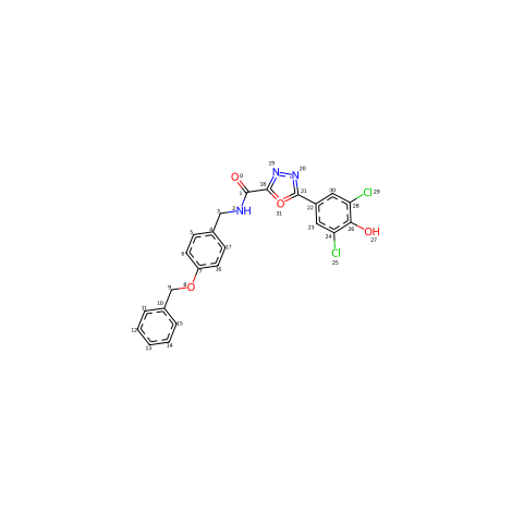 O=C(NCc1ccc(OCc2ccccc2)cc1)c1nnc(-c2cc(Cl)c(O)c(Cl)c2)o1